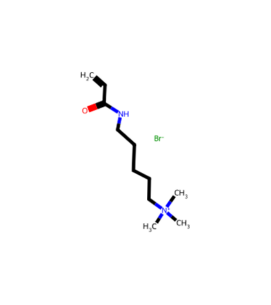 C=CC(=O)NCCCCC[N+](C)(C)C.[Br-]